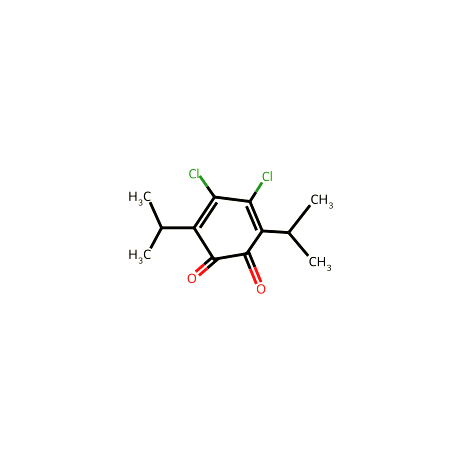 CC(C)C1=C(Cl)C(Cl)=C(C(C)C)C(=O)C1=O